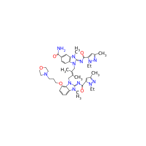 CCn1nc(C)cc1C(=O)/N=c1\n(C)c2cc(C(N)=O)ccc2n1C/C(C)=C(\C)Cn1/c(=N/C(=O)c2cc(C)nn2CC)n(C)c2cccc(OCCCN3CCOCC3)c21